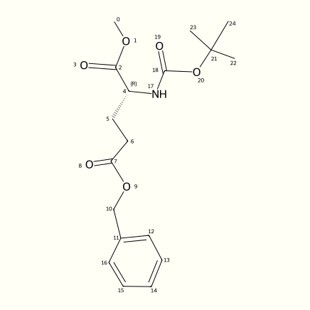 COC(=O)[C@@H](CCC(=O)OCc1ccccc1)NC(=O)OC(C)(C)C